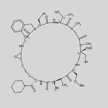 CC[C@H](C)[C@H]1C(=O)N[C@H](C(=O)N2CCCCC2)CSCC2OC2NCC(=O)N(Cc2ccccc2C)[C@@H](CC(C)C)C(=O)N[C@@H]([C@@H](C)O)C(=O)N(C)CC(=O)N(C)[C@](C=O)(CC(C)C)CN[C@@H](COC(C)(C)C)C(=O)N1C